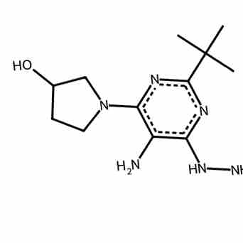 CC(C)(C)c1nc(NN)c(N)c(N2CCC(O)C2)n1